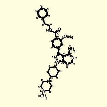 COc1cc(-c2nn(C3CCC(N4CCN(C)CC4)CC3)c3ncnc(N)c23)ccc1C(=O)NCCc1ccccc1